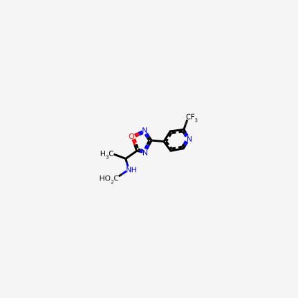 CC(NC(=O)O)c1nc(-c2ccnc(C(F)(F)F)c2)no1